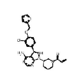 C=CC(=O)N1CCC[C@@H](N2NC(c3ccc(OCc4cccs4)c(Cl)c3)c3c(N)ncnc32)C1